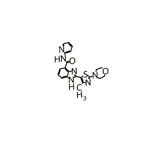 Cc1nc(N2CCOCC2)sc1-c1nc2c(C(=O)Nc3ccccn3)cccc2[nH]1